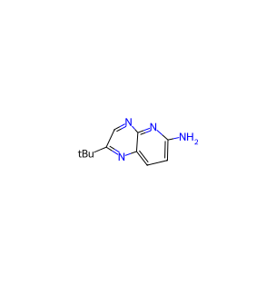 CC(C)(C)c1cnc2nc(N)ccc2n1